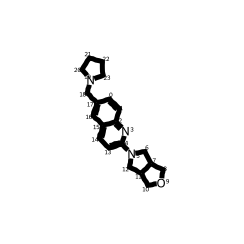 c1cc2nc(N3CC4COCC4C3)ccc2cc1CN1CCCC1